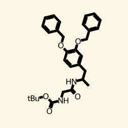 CC(Cc1ccc(OCc2ccccc2)c(OCc2ccccc2)c1)NC(=O)CNC(=O)OC(C)(C)C